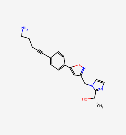 C[C@H](O)c1nccn1Cc1cc(-c2ccc(C#CCCCN)cc2)on1